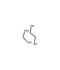 CC(=O)OCOC(C)=O.OCCO